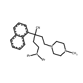 CC(C)N(CCC(C#N)(CCN1CCN(C)CC1)c1cccc2ccccc12)C(C)C